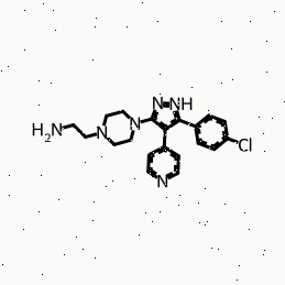 NCCN1CCN(c2n[nH]c(-c3ccc(Cl)cc3)c2-c2ccncc2)CC1